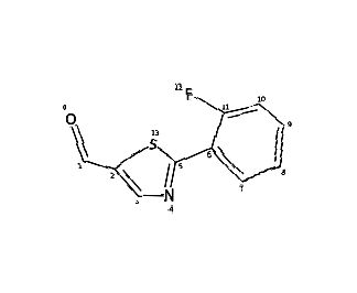 O=Cc1cnc(-c2ccccc2F)s1